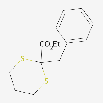 CCOC(=O)C1(Cc2ccccc2)SCCCS1